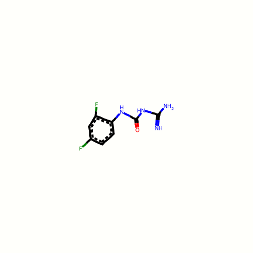 N=C(N)NC(=O)Nc1ccc(F)cc1F